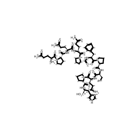 CC(C)C[C@H](NC(=O)[C@@H]1CCCN1C(=O)[C@H](Cc1ccccc1)NC(=O)[C@@H]1CCCN1C(=O)[C@H](CCC(N)=O)NC(=O)[C@H](CCC(N)=O)NC(=O)[C@@H]1CCCN1C(=O)[C@@H](N)CCC(N)=O)C(=O)N[C@@H](CCC(N)=O)C(=O)N1CCC[C@H]1C(=O)N[C@@H](Cc1c[nH]cn1)C(=O)O